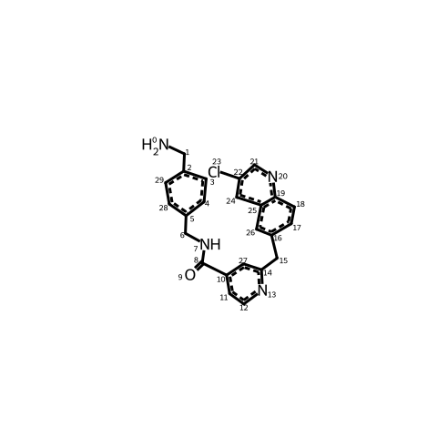 NCc1ccc(CNC(=O)c2ccnc(Cc3ccc4ncc(Cl)cc4c3)c2)cc1